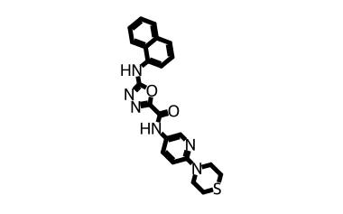 O=C(Nc1ccc(N2CCSCC2)nc1)c1nnc(Nc2cccc3ccccc23)o1